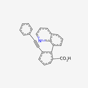 O=C(O)c1cccc(C#Cc2ccccc2)c1-c1cccc2cccnc12